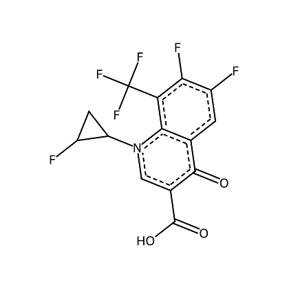 O=C(O)c1cn(C2CC2F)c2c(C(F)(F)F)c(F)c(F)cc2c1=O